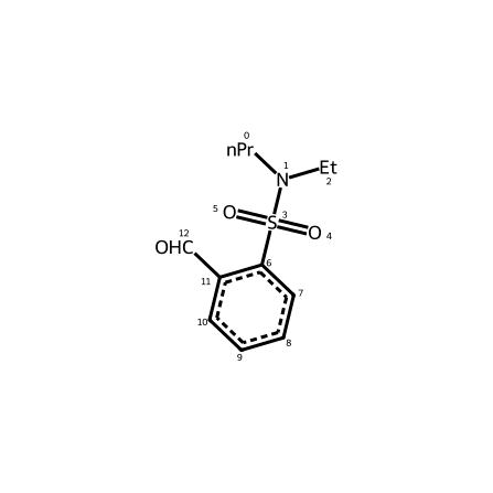 CCCN(CC)S(=O)(=O)c1ccccc1C=O